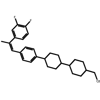 COCC1CCC(C2CCC(c3ccc(C=C(C)c4ccc(F)c(F)c4)cc3)CC2)CC1